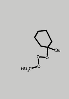 CC(C)(C)C1(OOOC(=O)O)CCCCC1